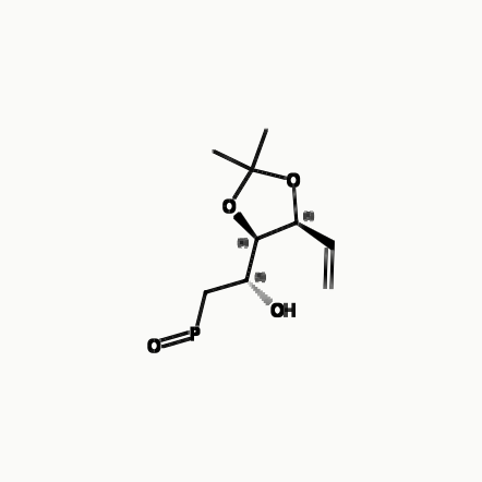 C=C[C@@H]1OC(C)(C)O[C@@H]1[C@H](O)CP=O